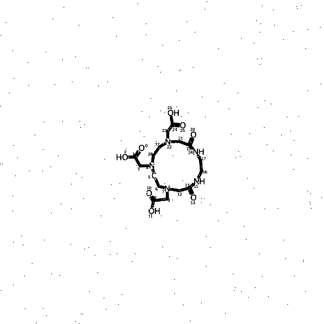 O=C(O)CN1CCN(CC(=O)O)CC(=O)NCCNC(=O)CN(CC(=O)O)CC1